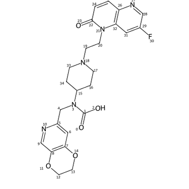 O=C(O)N(Cc1cc2c(cn1)OCCO2)C1CCN(CCn2c(=O)ccc3ncc(F)cc32)CC1